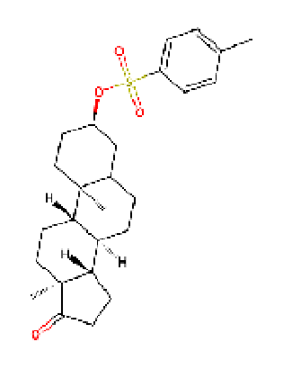 Cc1ccc(S(=O)(=O)O[C@@H]2CC[C@@]3(C)C(CC[C@@H]4[C@@H]3CC[C@]3(C)C(=O)CC[C@@H]43)C2)cc1